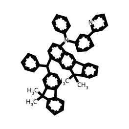 CC1(C)c2ccccc2-c2ccc(C(c3ccccc3)c3ccc(N(c4ccccc4)c4cccc(-c5ccccn5)c4)c4cc5c(cc34)C(C)(C)c3ccccc3-5)cc21